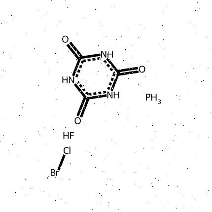 ClBr.F.O=c1[nH]c(=O)[nH]c(=O)[nH]1.P